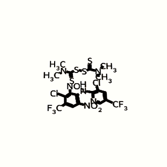 CN(C)C(=S)SSC(=S)N(C)C.O=[N+]([O-])c1cc(C(F)(F)F)c(Cl)c([N+](=O)[O-])c1Nc1ncc(C(F)(F)F)cc1Cl